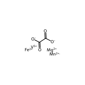 O=C([O-])C(=O)[O-].[Fe+2].[Mg+2].[Mn+2].[V+5]